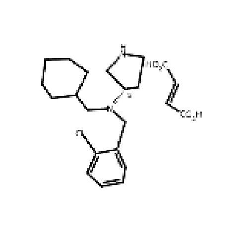 Clc1ccccc1CN(CC1CCCCC1)[C@H]1CCNC1.O=C(O)C=CC(=O)O